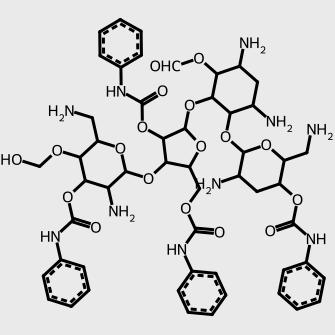 NCC1OC(OC2C(N)CC(N)C(OC=O)C2OC2OC(COC(=O)Nc3ccccc3)C(OC3OC(CN)C(OCO)C(OC(=O)Nc4ccccc4)C3N)C2OC(=O)Nc2ccccc2)C(N)CC1OC(=O)Nc1ccccc1